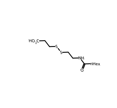 CCCCCCC(=O)NCCSSCCC(=O)O